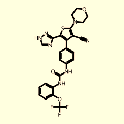 N#Cc1c(N2CCOCC2)sc(-c2nc[nH]n2)c1-c1ccc(NC(=O)Nc2ccccc2OC(F)(F)F)cc1